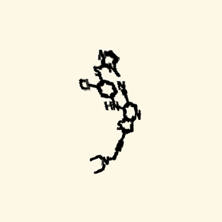 CCN(CC)CC#Cc1cc2ncc(C#N)c(Nc3ccc(Sc4nccn4C)c(Cl)c3)c2s1